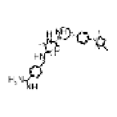 Cc1cc(C)n(-c2ccc([C@H]3CCN[C@@H](C(=O)N[C@@H](C)C(=O)NCc4ccc(C(=N)N)cc4)C3)cc2)n1